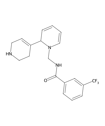 O=C(NCN1C=CC=CC1C1=CCNCC1)c1cccc(C(F)(F)F)c1